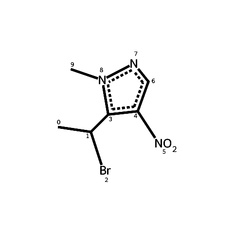 CC(Br)c1c([N+](=O)[O-])cnn1C